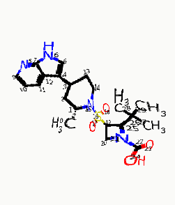 C[C@@H]1CC(c2c[nH]c3ncccc23)CCN1S(=O)(=O)C1CN(C(=O)O)C1C(C)(C)C